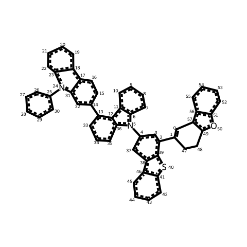 C1=C(c2cc(-n3c4ccccc4c4c(-c5ccc6c7ccccc7n(-c7ccccc7)c6c5)cccc43)cc3c2sc2ccccc23)CCc2oc3ccccc3c21